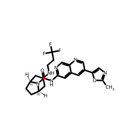 Cc1ncc(-c2cnc3cnc(NC(=O)N4[C@@H]5CC[C@H]4CC(NCCC(F)(F)F)C5)cc3c2)o1